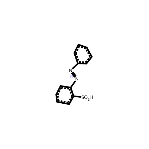 O=S(=O)(O)c1ccccc1/N=N/c1ccccc1